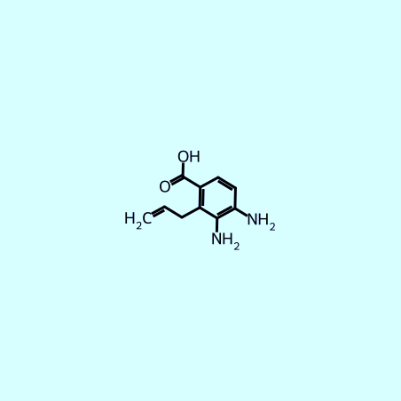 C=CCc1c(C(=O)O)ccc(N)c1N